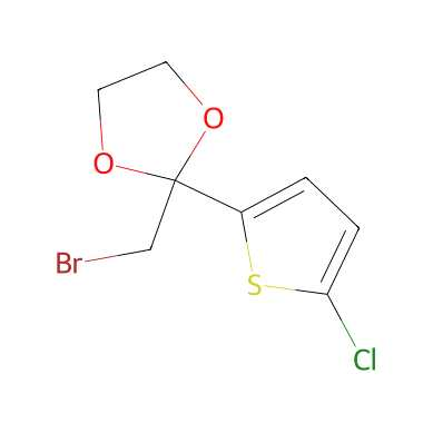 Clc1ccc(C2(CBr)OCCO2)s1